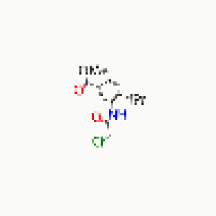 COC(=O)c1ccc(C(C)C)c(NC(=O)CCl)c1